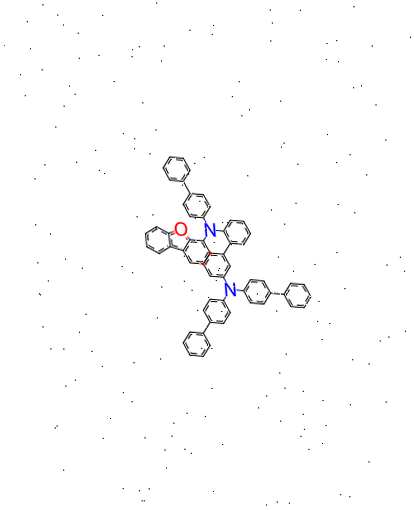 c1ccc(-c2ccc(N(c3ccc(-c4ccccc4)cc3)c3cccc(-c4ccccc4N(c4ccc(-c5ccccc5)cc4)c4cccc5c4oc4ccccc45)c3)cc2)cc1